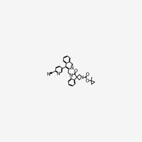 CC1(OC(=O)N2CC3(C2)C(=O)N(Cc2ncc4ccccc4c2-c2ccc(C#N)nc2)c2ccccc23)CC1